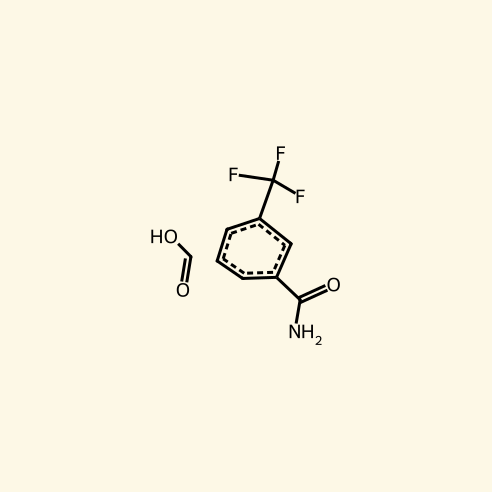 NC(=O)c1cccc(C(F)(F)F)c1.O=CO